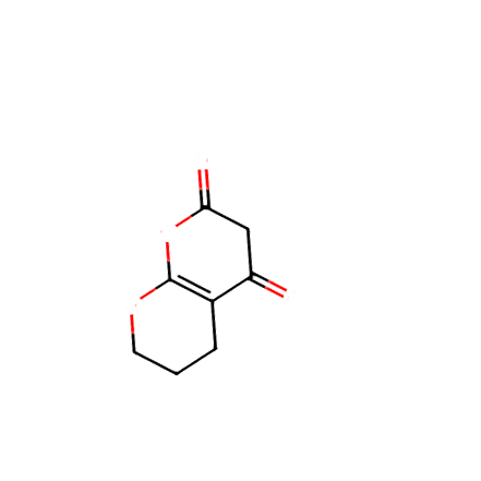 O=C1CC(=O)C2=C(OCCC2)O1